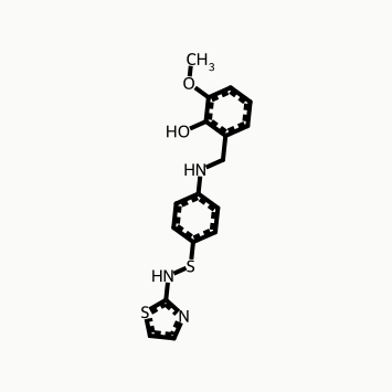 COc1cccc(CNc2ccc(SNc3nccs3)cc2)c1O